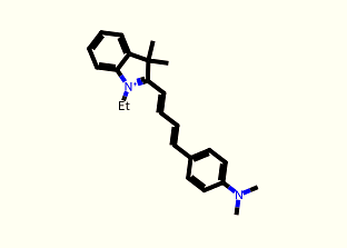 CC[N+]1=C(C=CC=Cc2ccc(N(C)C)cc2)C(C)(C)c2ccccc21